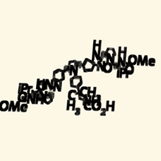 COC(=O)N[C@H](C(=O)N1CCC[C@H]1c1nc2cc([C@H]3CC[C@H](c4ccc5nc([C@@H]6CCCN6C(=O)[C@@H](NC(=O)OC)C(C)C)[nH]c5c4)N3c3ccc(C(C)(C)CNC(=O)O)cc3)ccc2[nH]1)C(C)C